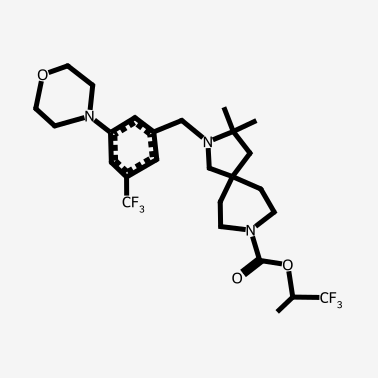 CC(OC(=O)N1CCC2(CC1)CN(Cc1cc(N3CCOCC3)cc(C(F)(F)F)c1)C(C)(C)C2)C(F)(F)F